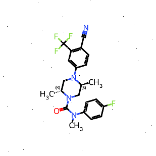 C[C@@H]1CN(c2ccc(C#N)c(C(F)(F)F)c2)[C@@H](C)CN1C(=O)N(C)c1ccc(F)cc1